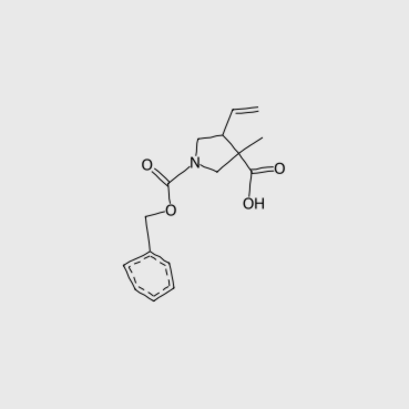 C=CC1CN(C(=O)OCc2ccccc2)CC1(C)C(=O)O